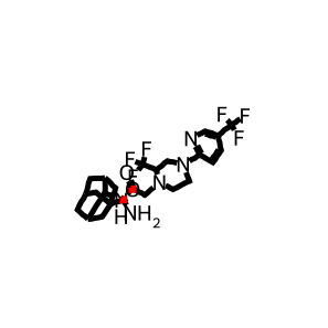 NC(=O)C12CC3CC(C1)C(NC(=O)CN1CCN(c4ccc(C(F)(F)F)cn4)CC1C(F)(F)F)C(C3)C2